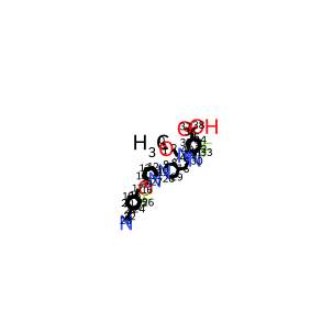 COCCn1c(CC2CCN(c3cccc(OCc4ccc(C#N)cc4F)n3)CC2)nc2c(F)cc(C(=O)O)cc21